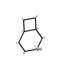 C1CC2CCC2CN1